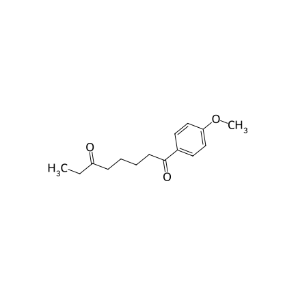 CCC(=O)CCCCC(=O)c1ccc(OC)cc1